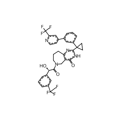 O=C([C@H](O)c1cccc(C(F)(F)F)c1)N1CCCc2nc(C3(c4cccc(-c5ccnc(C(F)(F)F)c5)c4)CC3)[nH]c(=O)c2C1